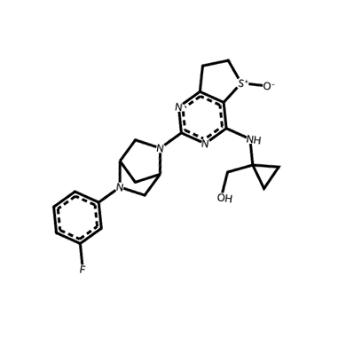 [O-][S+]1CCc2nc(N3CC4CC3CN4c3cccc(F)c3)nc(NC3(CO)CC3)c21